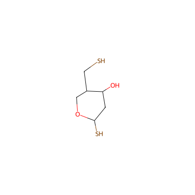 OC1CC(S)OCC1CS